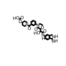 N=C1NCc2cc(NC(=O)[C@H](O)[C@H]3OCCN(c4cccc(C(=O)N5CCC(OC(=O)O)CC5)c4)C3=O)ccc21